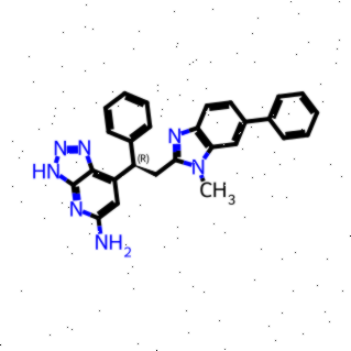 Cn1c(C[C@H](c2ccccc2)c2cc(N)nc3[nH]nnc23)nc2ccc(-c3ccccc3)cc21